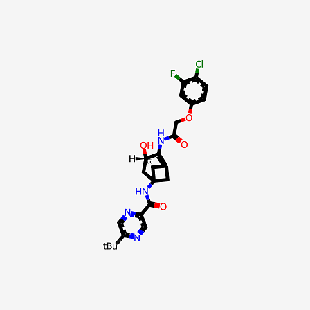 CC(C)(C)c1cnc(C(=O)NC23CC(=C(NC(=O)COc4ccc(Cl)c(F)c4)[C@@H](O)C2)C3)cn1